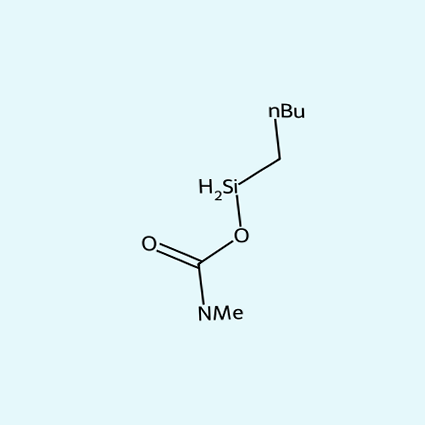 CCCCC[SiH2]OC(=O)NC